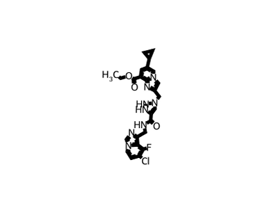 CCOC(=O)c1cc(C2CC2)cn2cc(CN3C=C(C(=O)NCc4ncn5ccc(Cl)c(F)c45)NN3)nc12